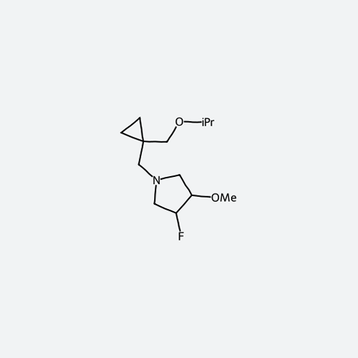 COC1CN(CC2(COC(C)C)CC2)CC1F